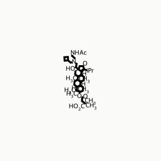 CC(=O)NCCN(CC1CCC1)C[C@H](O)[C@@]12CC[C@]3(C)[C@H](CC[C@@H]4[C@@]5(C)CC[C@@H](OC(=O)CC(C)(C)C(=O)O)C(C)(C)[C@@H]5CC[C@]43C)C1=C(C(C)C)C(=O)C2